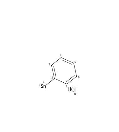 Cl.[Sn][c]1ccccc1